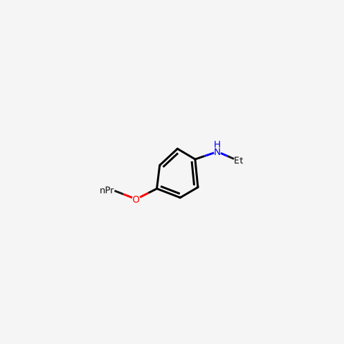 CCCOc1ccc(NCC)cc1